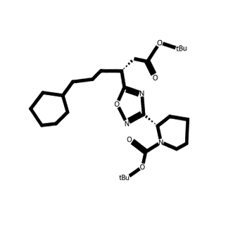 CC(C)(C)OC(=O)C[C@@H](CCCC1CCCCC1)c1nc([C@@H]2CCCCN2C(=O)OC(C)(C)C)no1